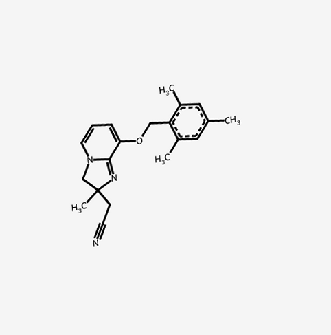 Cc1cc(C)c(COC2=CC=CN3CC(C)(CC#N)N=C23)c(C)c1